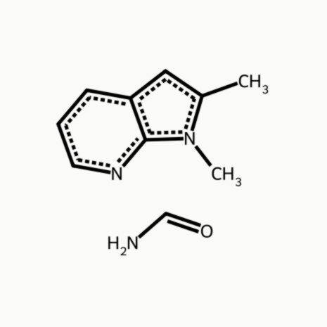 Cc1cc2cccnc2n1C.NC=O